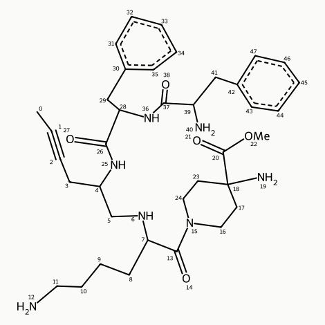 CC#CCC(CNC(CCCCN)C(=O)N1CCC(N)(C(=O)OC)CC1)NC(=O)C(Cc1ccccc1)NC(=O)C(N)Cc1ccccc1